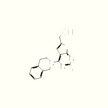 CCc1cc2c(N3CCc4ccccc4C3)nc(Cl)nc2s1